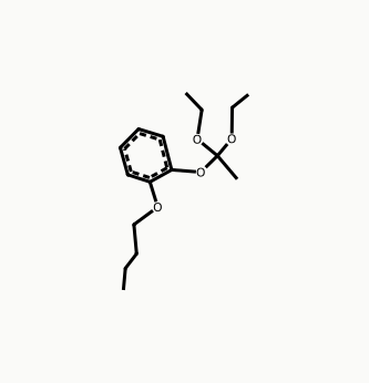 CCCCOc1ccccc1OC(C)(OCC)OCC